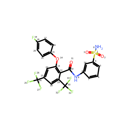 NS(=O)(=O)c1cccc(NC(=O)c2c(Oc3ccc(F)cc3)cc(C(F)(F)F)cc2C(F)(F)F)c1